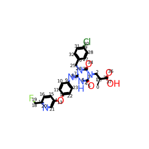 C[C@@H](Cn1c(=O)[nH]/c(=N\c2ccc(Oc3ccc(CF)nc3)cc2)n(Cc2ccc(Cl)cc2)c1=O)C(=O)O